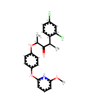 CCOc1cccc(Oc2ccc(OC(C)C(=O)C(C#N)c3ccc(Cl)cc3Cl)cc2)n1